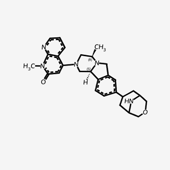 C[C@@H]1CN(c2cc(=O)n(C)c3ncccc23)C[C@@H]2c3ccc(C4CC5COCC(C4)N5)cc3CN12